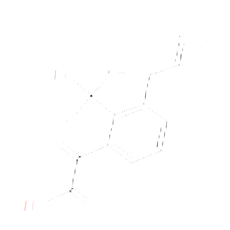 C=CCc1cccc(C(=O)C(=O)O)c1C(C)(C)C